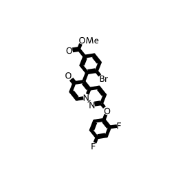 COC(=O)c1ccc(Br)c(-c2c(=O)ccn3nc(Oc4ccc(F)cc4F)ccc23)c1